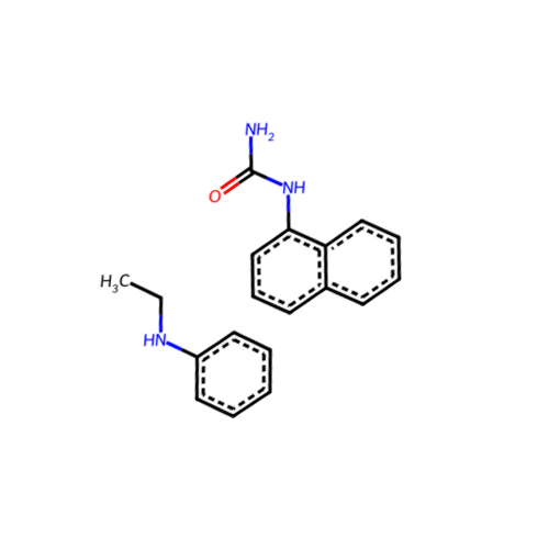 CCNc1ccccc1.NC(=O)Nc1cccc2ccccc12